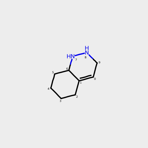 C1=C2CCCCC2NNC1